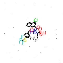 C/C=C(/NC(=O)c1cc(Cl)c2ccccc2c1OCc1ccc(SC(F)(F)F)cc1)C(=O)O